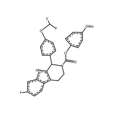 COc1ccc(OC(=O)N2CCc3c([nH]c4cc(F)ccc34)C2c2ccc(OC(F)F)cc2)cc1